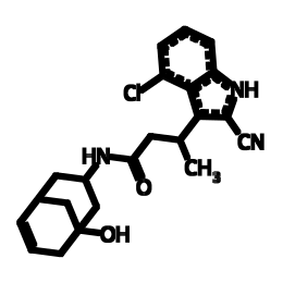 CC(CC(=O)NC1CC2C=CCC(O)(C2)C1)c1c(C#N)[nH]c2cccc(Cl)c12